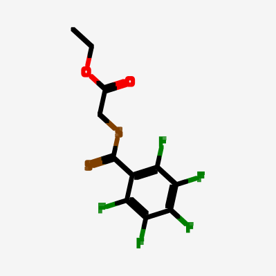 CCOC(=O)CSC(=S)c1c(F)c(F)c(F)c(F)c1F